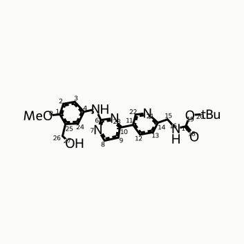 COc1ccc(Nc2nccc(-c3ccc(CNC(=O)OC(C)(C)C)nc3)n2)cc1CO